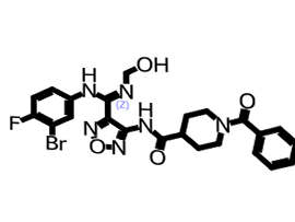 O=C(Nc1nonc1/C(=N/CO)Nc1ccc(F)c(Br)c1)C1CCN(C(=O)c2ccccc2)CC1